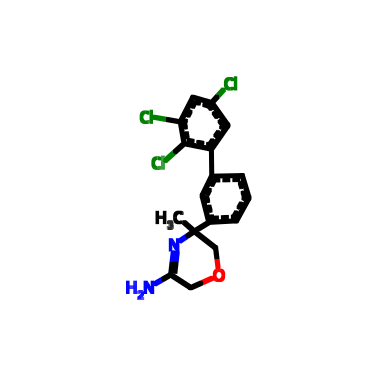 CC1(c2cccc(-c3cc(Cl)cc(Cl)c3Cl)c2)COCC(N)=N1